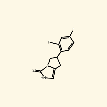 Fc1ccc(C2Cc3c[nH]c(=S)n3C2)c(F)c1